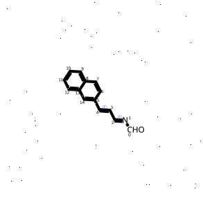 O=C/N=C/C=C/c1ccc2ccccc2c1